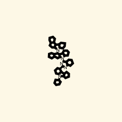 c1ccc(-n2c3ccccc3c3c(-c4nc(-n5c6ccccc6c6c(-n7c8ccccc8c8c9ccccc9ccc87)c7ccccc7cc65)c5ccccc5n4)cccc32)cc1